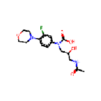 CC(=O)NCC(O)CN(C(=O)O)c1ccc(N2CCOCC2)c(F)c1